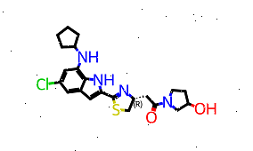 O=C(C[C@@H]1CSC(c2cc3cc(Cl)cc(NC4CCCC4)c3[nH]2)=N1)N1CCC(O)C1